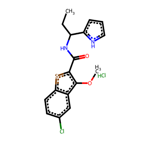 CCC(NC(=O)c1sc2ccc(Cl)cc2c1OC)c1ccc[nH]1.Cl